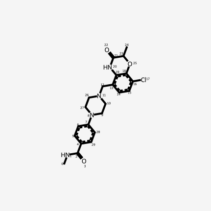 CNC(=O)c1ccc(N2CCN(Cc3ccc(Cl)c4c3NC(=O)C(C)O4)CC2)cc1